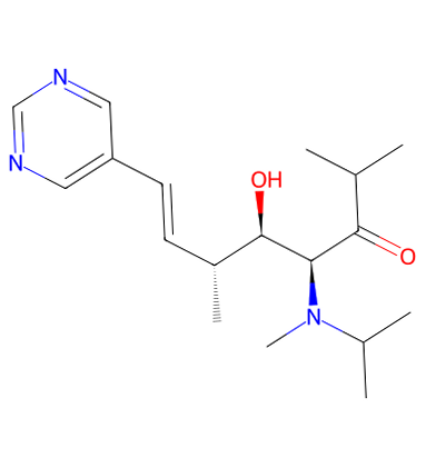 CC(C)C(=O)[C@H]([C@H](O)[C@H](C)/C=C/c1cncnc1)N(C)C(C)C